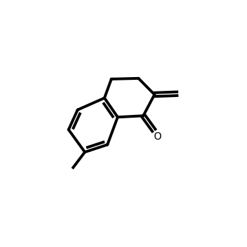 C=C1CCc2ccc(C)cc2C1=O